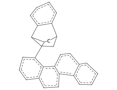 c1ccc2c(c1)C1CCC2C(c2cccc3ccc4c5ccccc5ccc4c23)C1